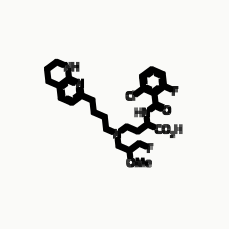 COC(CF)CN(CCCCc1ccc2c(n1)NCCC2)CCC(NC(=O)c1c(F)cccc1Cl)C(=O)O